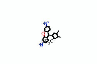 Cc1cc(C(=O)O)c(-c2c3ccc(=[N+](C)C)cc-3oc3cc(N(C)C)ccc23)cc1C